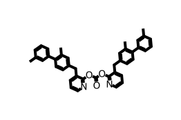 Cc1cccc(-c2ccc(Cc3cccnc3OC(=O)Oc3ncccc3Cc3ccc(-c4cccc(C)c4)c(C)c3)cc2C)c1